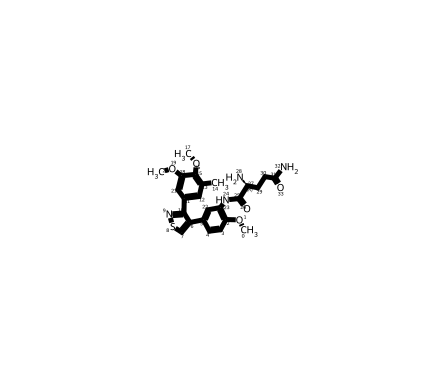 COc1ccc(-c2csnc2-c2cc(C)c(OC)c(OC)c2)cc1NC(=O)[C@H](N)CCC(N)=O